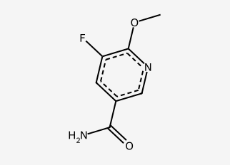 COc1ncc(C(N)=O)cc1F